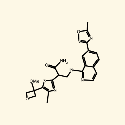 COC1(c2sc(C(CNc3nccc4ccc(-c5noc(C)n5)cc34)C(N)=O)nc2C)COC1